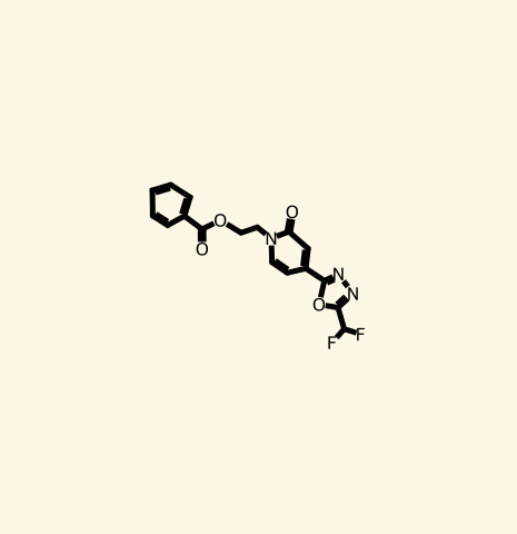 O=C(OCCn1ccc(-c2nnc(C(F)F)o2)cc1=O)c1ccccc1